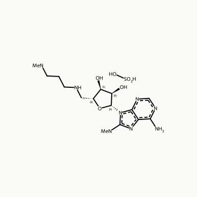 CNCCCNC[C@H]1O[C@@H](n2c(NC)nc3c(N)ncnc32)[C@H](O)[C@@H]1O.O=S(=O)(O)O